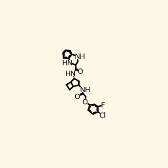 O=C(COc1ccc(Cl)c(F)c1)NC1C[C@H](NC(=O)C2CNc3ccccc3N2)C2CCC12